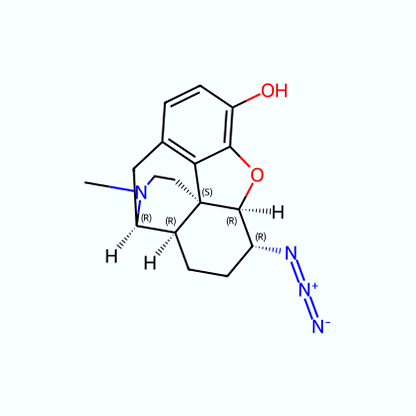 CN1CC[C@]23c4c5ccc(O)c4O[C@H]2[C@H](N=[N+]=[N-])CC[C@H]3[C@H]1C5